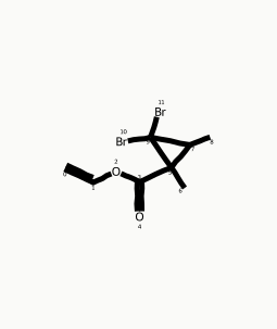 C=COC(=O)C1(C)C(C)C1(Br)Br